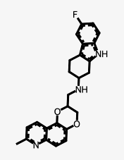 Cc1ccc2c3c(ccc2n1)OCC(CNC1CCc2c([nH]c4ccc(F)cc24)C1)O3